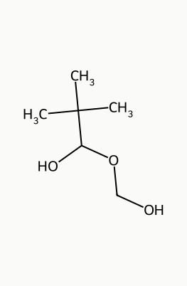 CC(C)(C)C(O)OCO